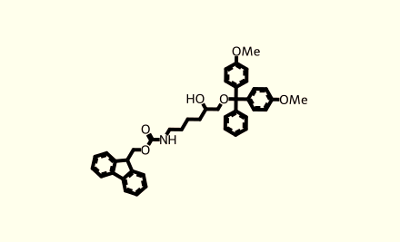 COc1ccc(C(OCC(O)CCCCNC(=O)OCC2c3ccccc3-c3ccccc32)(c2ccccc2)c2ccc(OC)cc2)cc1